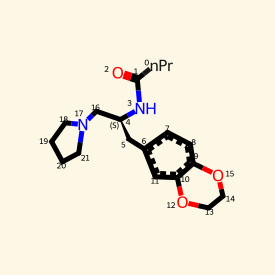 CCCC(=O)N[C@@H](Cc1ccc2c(c1)OCCO2)CN1CCCC1